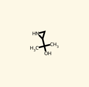 CC(C)(O)C1CN1